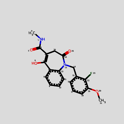 CNC(=O)C1=C(O)c2ccccc2N(Cc2cccc(OC)c2F)C(=O)C1